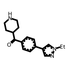 CCn1cc(-c2ccc(C(=O)C3CCNCC3)cc2)cn1